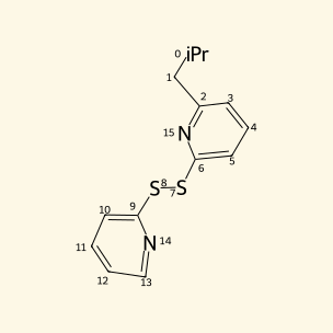 CC(C)Cc1cccc(SSc2ccccn2)n1